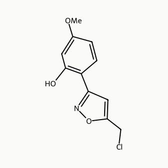 COc1ccc(-c2cc(CCl)on2)c(O)c1